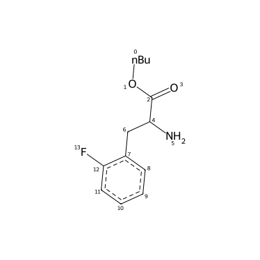 CCCCOC(=O)C(N)Cc1ccccc1F